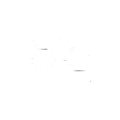 FC1=Cc2c(ccc3c(Cl)nccc23)CC1